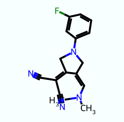 CN(C)/C=C1/CN(c2cccc(F)c2)CC1=C(C#N)C#N